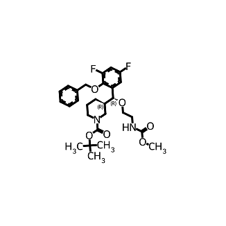 COC(=O)NCCO[C@@H](c1cc(F)cc(F)c1OCc1ccccc1)[C@@H]1CCCN(C(=O)OC(C)(C)C)C1